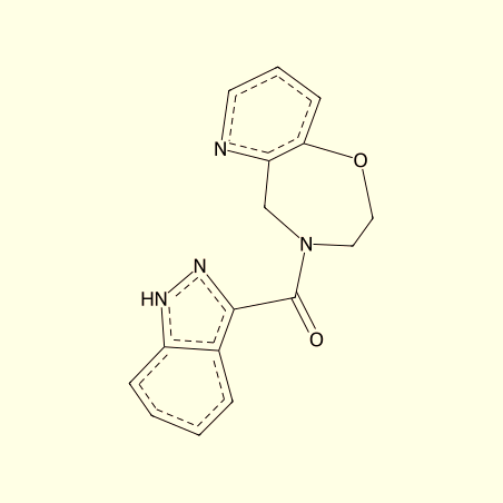 O=C(c1n[nH]c2ccccc12)N1CCOc2cccnc2C1